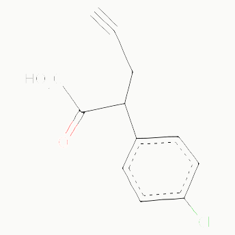 C#CCC(C(=O)C(=O)O)c1ccc(Cl)cc1